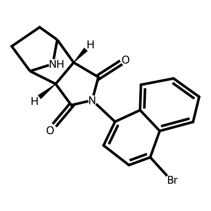 O=C1[C@@H]2C3CCC(N3)[C@@H]2C(=O)N1c1ccc(Br)c2ccccc12